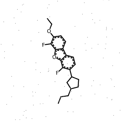 CCCC1CCC(c2ccc3c(oc4c(F)c(OCC)ccc43)c2F)C1